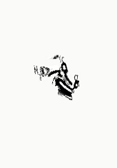 C=C(COC)c1nc2cc(C#N)nc(-c3cncc(Cl)c3)c2n1CC1CCC(C)CC1